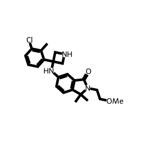 COCCN1C(=O)c2cc(NC3(c4cccc(Cl)c4C)CNC3)ccc2C1(C)C